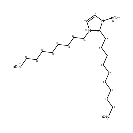 CCCCCCCCCCCCCCCCCCCC1N(CCCCCCCC)C=CN1CCCCCCCCCCCCCCCCCC